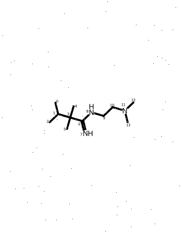 CC(C)C(C)(C)C(=N)NCCN(C)C